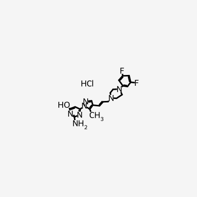 Cc1c(C=CCN2CCN(c3cc(F)cc(F)c3)CC2)cnn1-c1cc(O)nc(N)n1.Cl